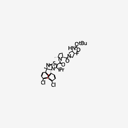 CC(C)C1=C(C(=O)N2[C@H](C)CC[C@H]2C(=O)N2C[C@H](NC(=O)OC(C)(C)C)[C@@H](F)C2)SC2=N[C@@](C)(c3ccc(Cl)cc3)[C@@H](c3ccc(Cl)cc3)N21